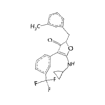 Cc1cccc(CC2OC(NC3CC3)=C(c3cccc(C(F)(F)F)c3)C2=O)c1